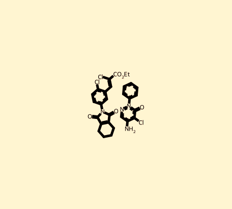 CCOC(=O)/C(Cl)=C/c1cc(N2C(=O)C3=C(CCCC3)C2=O)ccc1Cl.Nc1cnn(-c2ccccc2)c(=O)c1Cl